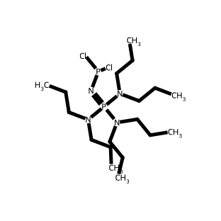 CCCN(CCC)P(=NP(Cl)Cl)(N(CCC)CCC)N(CCC)CCC